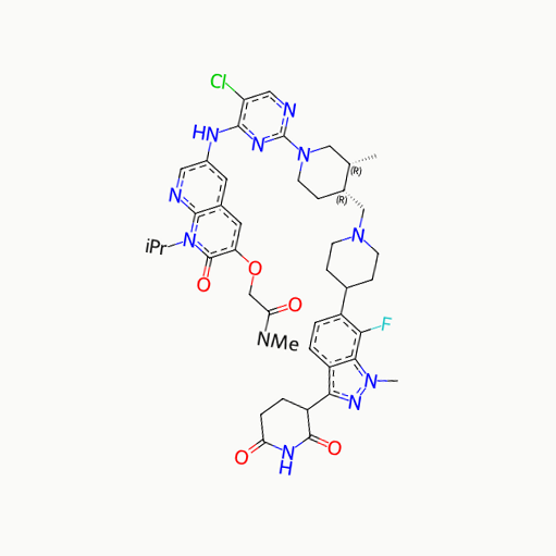 CNC(=O)COc1cc2cc(Nc3nc(N4CC[C@@H](CN5CCC(c6ccc7c(C8CCC(=O)NC8=O)nn(C)c7c6F)CC5)[C@@H](C)C4)ncc3Cl)cnc2n(C(C)C)c1=O